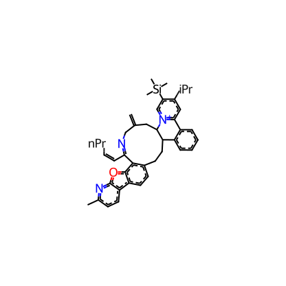 C=C1C/N=C(/C=C\CCC)c2c(ccc3c2oc2nc(C)ccc23)CCC2c3ccccc3-c3cc(C(C)C)c([Si](C)(C)C)c[n+]3C2C1